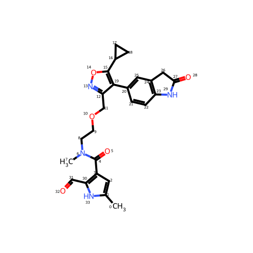 Cc1cc(C(=O)N(C)CCOCc2noc(C3CC3)c2-c2ccc3c(c2)CC(=O)N3)c(C=O)[nH]1